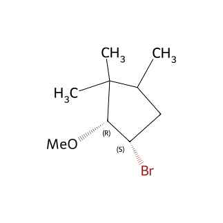 CO[C@H]1[C@@H](Br)CC(C)C1(C)C